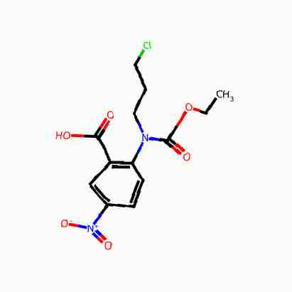 CCOC(=O)N(CCCCl)c1ccc([N+](=O)[O-])cc1C(=O)O